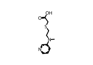 CN(CCSCC(=O)O)c1cccnc1